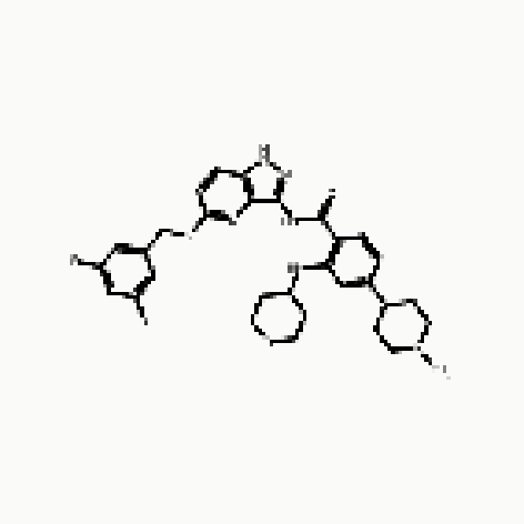 CN1CCC(c2ccc(C(=O)Nc3n[nH]c4ccc(SCc5cc(F)cc(F)c5)nc34)c(NC3CCOCC3)c2)CC1